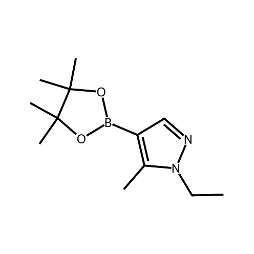 CCn1ncc(B2OC(C)(C)C(C)(C)O2)c1C